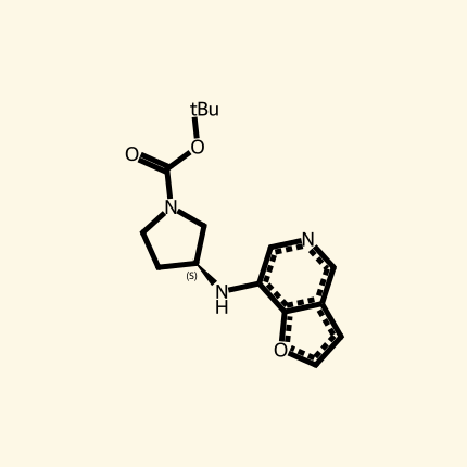 CC(C)(C)OC(=O)N1CC[C@H](Nc2cncc3ccoc23)C1